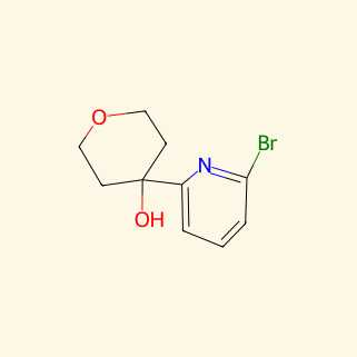 OC1(c2cccc(Br)n2)CCOCC1